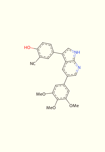 COc1cc(-c2cnc3[nH]cc(-c4ccc(O)c(C#N)c4)c3c2)cc(OC)c1OC